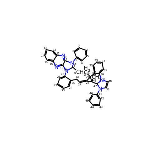 CC1N(c2ccccc2)c2nc3ccccc3nc2N1c1ccccc1C/C=C1\C2(C)c3ccccc3N3C=CN(c4ccccc4)C3C12C